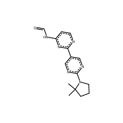 CC1(C)CCCN1c1ncc(-c2nccc(NC=O)n2)cn1